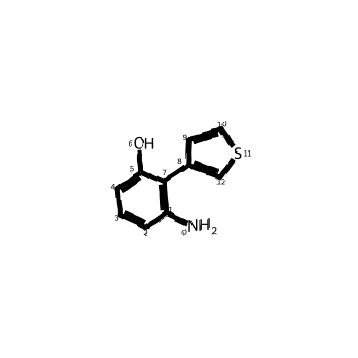 Nc1cccc(O)c1-c1ccsc1